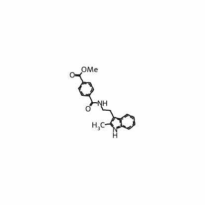 COC(=O)c1ccc(C(=O)NCCc2c(C)[nH]c3ccccc23)cc1